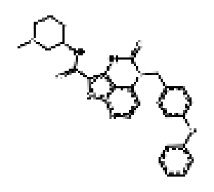 CN1CCC[C@@H](NC(=O)c2sc3nccc4c3c2NC(=O)N4Cc2ccc(Oc3ccccc3)cc2)C1